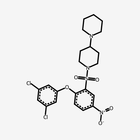 O=[N+]([O-])c1ccc(Oc2cc(Cl)cc(Cl)c2)c(S(=O)(=O)N2CCC(N3CCCCC3)CC2)c1